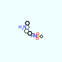 N[C@@H]1CCc2ccc(CNS(=O)(=O)C3CCC3)cc2[C@@H]1Cc1ccccc1